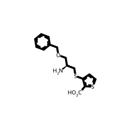 N[C@@H](COCc1ccccc1)CSc1ccsc1C(=O)O